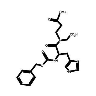 COC(=O)CCN(CC(=O)O)C(=O)C(Cc1c[nH]cn1)NC(=O)OCc1ccccc1